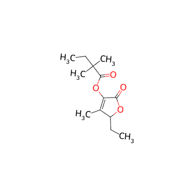 CCC1OC(=O)C(OC(=O)C(C)(C)CC)=C1C